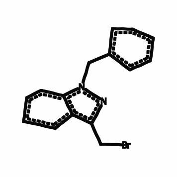 BrCc1nn(Cc2ccccc2)c2ccccc12